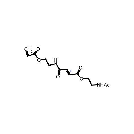 C=CC(=O)OCCNC(=O)/C=C/C(=O)OCCNC(C)=O